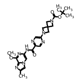 COc1nc(NC(=O)c2cnc(N3CC4(CN(C(=O)OC(C)(C)C)C4)C3)cn2)cn2cc(C)nc12